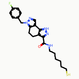 O=C(NCCCCCCS)c1n[nH]c2c1CCc1c-2cnn1Cc1ccc(F)cc1